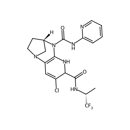 C[C@@H](NC(=O)C1NC2=C(C=C1Cl)N1CC[C@@H](C1)N2C(=O)Nc1ccccn1)C(F)(F)F